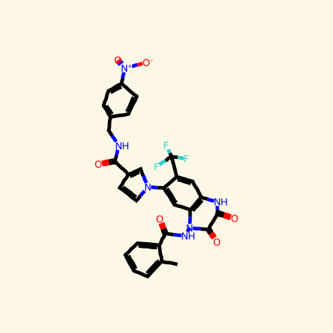 Cc1ccccc1C(=O)Nn1c(=O)c(=O)[nH]c2cc(C(F)(F)F)c(-n3ccc(C(=O)NCc4ccc([N+](=O)[O-])cc4)c3)cc21